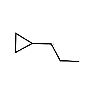 CC[CH]C1CC1